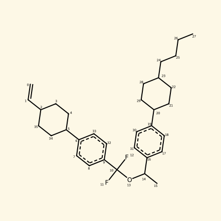 C=CC1CCC(c2ccc(C(F)(F)OC(C)c3ccc(C4CCC(CCCC)CC4)cc3)cc2)CC1